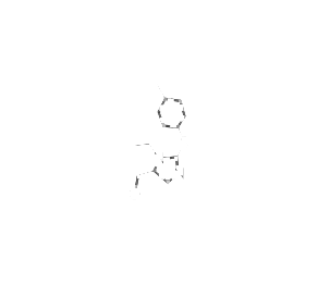 CCn1c(C=O)cnc1Sc1ccc(C)cc1